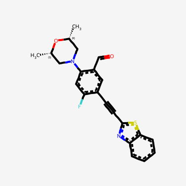 C[C@@H]1CN(c2cc(F)c(C#Cc3nc4ccccc4s3)cc2C=O)C[C@H](C)O1